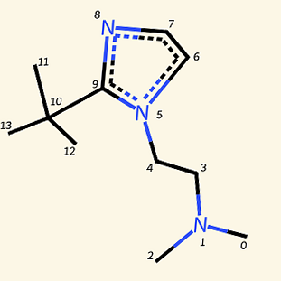 CN(C)CCn1ccnc1C(C)(C)C